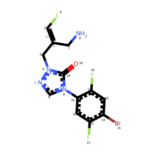 NC/C(=C\F)Cn1ncn(-c2cc(F)c(Br)cc2F)c1=O